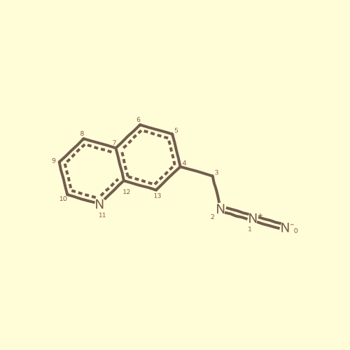 [N-]=[N+]=NCc1ccc2cccnc2c1